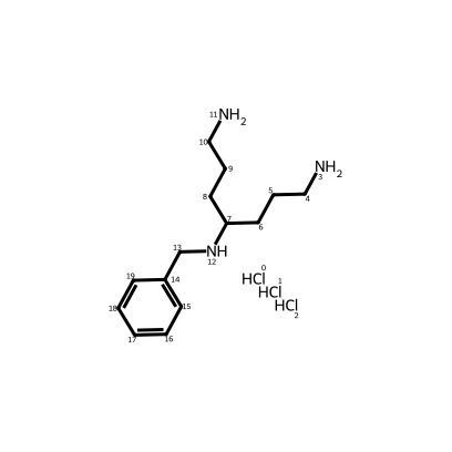 Cl.Cl.Cl.NCCCC(CCCN)NCc1ccccc1